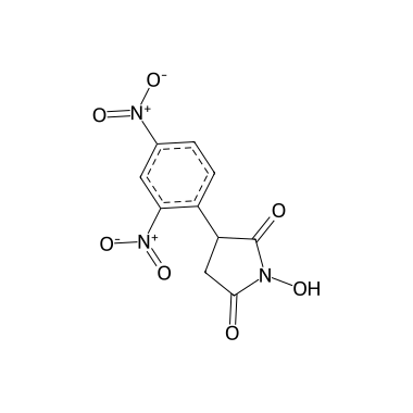 O=C1CC(c2ccc([N+](=O)[O-])cc2[N+](=O)[O-])C(=O)N1O